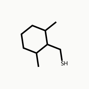 CC1CCCC(C)C1CS